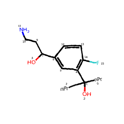 CCCC(O)(CCC)c1cc(C(O)CCN)ccc1F